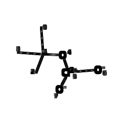 CC(C)(C)O[Cl+2]([O-])[O-]